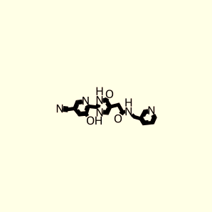 N#Cc1cnc(-c2ncc(CC(=O)NCc3cccnc3)c(=O)[nH]2)c(O)c1